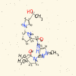 CC(O)c1cnn(-c2cccc(C(=O)Nc3cn(C)nc3N3CCC(C)(C)C3=O)n2)c1